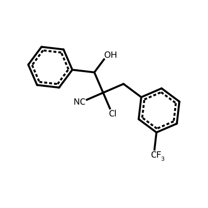 N#CC(Cl)(Cc1cccc(C(F)(F)F)c1)C(O)c1ccccc1